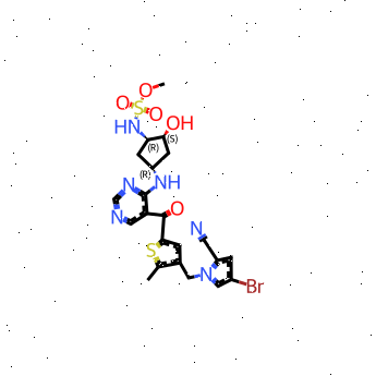 COS(=O)(=O)N[C@@H]1C[C@@H](Nc2ncncc2C(=O)c2cc(Cn3cc(Br)cc3C#N)c(C)s2)C[C@@H]1O